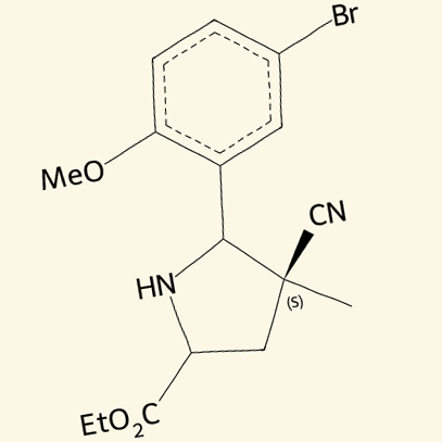 CCOC(=O)C1C[C@](C)(C#N)C(c2cc(Br)ccc2OC)N1